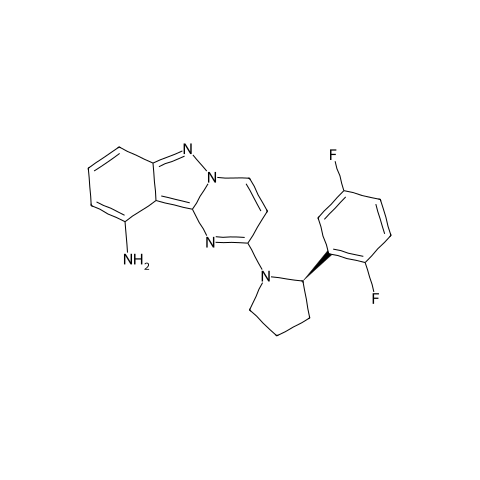 Nc1cccc2nn3ccc(N4CCC[C@@H]4c4cc(F)ccc4F)nc3c12